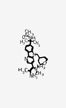 C/C(N)=C(\c1cnc2c3ccc(C(C)(C)N[S+](C)[O-])cc3n(CC3CCOCC3)c2c1)N(C)N